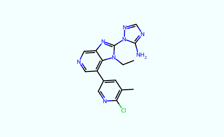 CCn1c(-n2ncnc2N)nc2cncc(-c3cnc(Cl)c(C)c3)c21